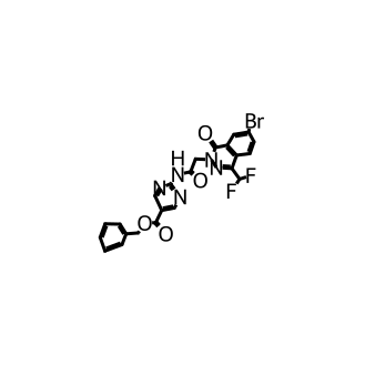 O=C(Cn1nc(C(F)F)c2ccc(Br)cc2c1=O)Nc1ncc(C(=O)OCc2ccccc2)cn1